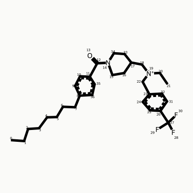 CCCCCCCCc1ccc(C(=O)N2CCC(C[N+](CC)Cc3ccc(C(F)(F)F)cc3)CC2)cc1